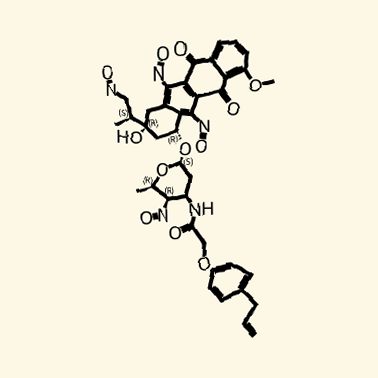 C=CCc1ccc(OCC(=O)NC2C[C@@H](O[C@@H]3C[C@@](O)([C@@H](C)CN=O)Cc4c(N=O)c5c(c(N=O)c43)C(=O)c3c(OC)cccc3C5=O)O[C@H](C)[C@@H]2N=O)cc1